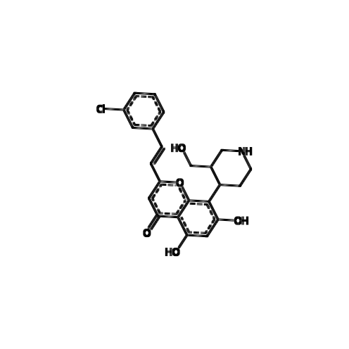 O=c1cc(C=Cc2cccc(Cl)c2)oc2c(C3CCNCC3CO)c(O)cc(O)c12